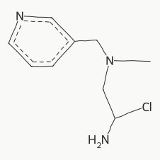 CN(Cc1cccnc1)CC(N)Cl